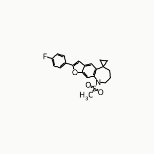 CS(=O)(=O)N1CCCC2(CC2)c2cc3cc(-c4ccc(F)cc4)oc3cc21